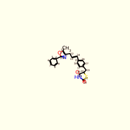 Cc1oc(-c2ccccc2)nc1CC=Cc1ccc(CC2SC(=O)NC2=O)cc1